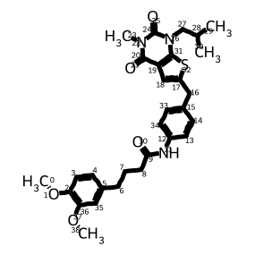 COc1ccc(CCCC(=O)Nc2ccc(Cc3cc4c(=O)n(C)c(=O)n(CC(C)C)c4s3)cc2)cc1OC